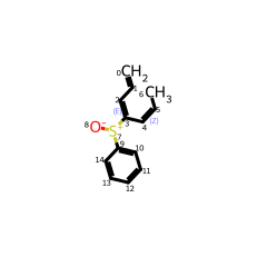 C=C/C=C(\C=C/C)[S+]([O-])c1ccccc1